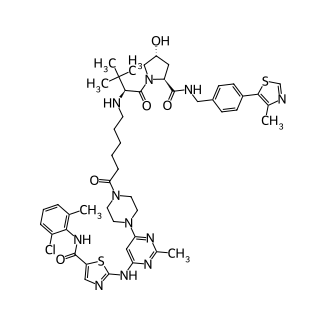 Cc1nc(Nc2ncc(C(=O)Nc3c(C)cccc3Cl)s2)cc(N2CCN(C(=O)CCCCCN[C@H](C(=O)N3C[C@H](O)C[C@H]3C(=O)NCc3ccc(-c4scnc4C)cc3)C(C)(C)C)CC2)n1